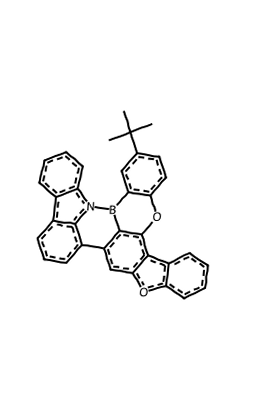 CC(C)(C)c1ccc2c(c1)B1c3c(cc4oc5ccccc5c4c3O2)-c2cccc3c4ccccc4n1c23